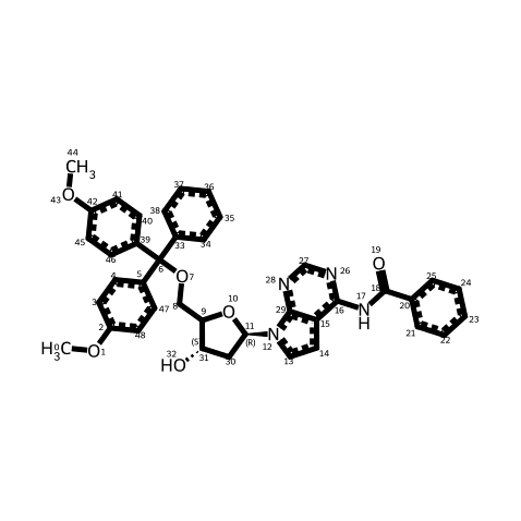 COc1ccc(C(OCC2O[C@@H](n3ccc4c(NC(=O)c5ccccc5)ncnc43)C[C@@H]2O)(c2ccccc2)c2ccc(OC)cc2)cc1